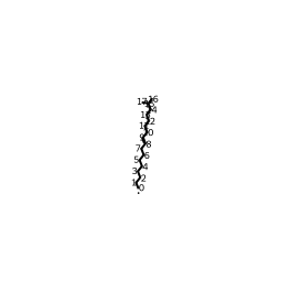 [CH2]CCCCCCCC=CCCCCCC(C)C